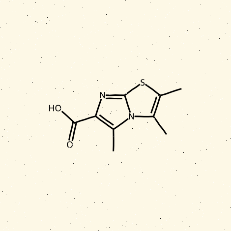 Cc1sc2nc(C(=O)O)c(C)n2c1C